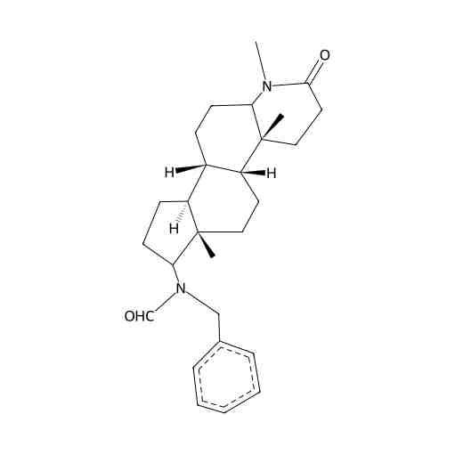 CN1C(=O)CC[C@@]2(C)C1CC[C@@H]1[C@H]2CC[C@]2(C)C(N(C=O)Cc3ccccc3)CC[C@@H]12